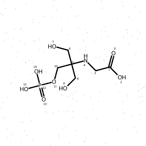 O=C(O)CNC(CO)(CO)COP(=O)(O)O